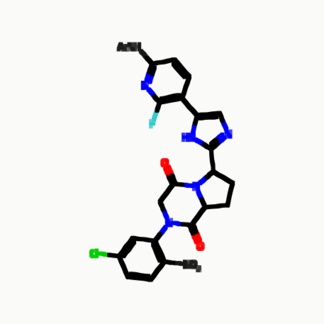 CC(=O)Nc1ccc(-c2cnc(C3CCC4C(=O)N(c5cc(Cl)ccc5[N+](=O)[O-])CC(=O)N43)[nH]2)c(F)n1